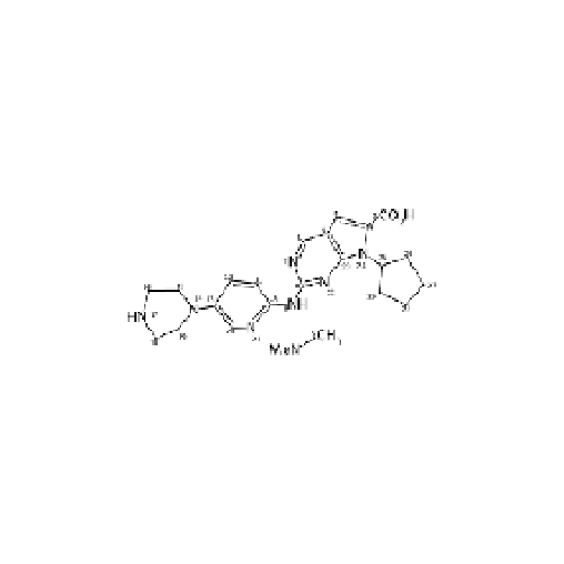 CNC.O=C(O)c1cc2cnc(Nc3ccc(N4CCNCC4)cn3)nc2n1C1CCCC1